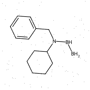 BBN(Cc1ccccc1)C1CCCCC1